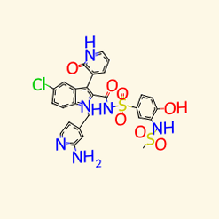 CS(=O)(=O)Nc1cc(S(=O)(=O)NC(=O)c2c(-c3ccc[nH]c3=O)c3cc(Cl)ccc3n2Cc2ccnc(N)c2)ccc1O